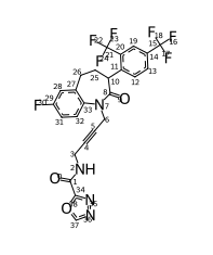 O=C(NCC#CCN1C(=O)C(c2ccc(C(F)(F)F)cc2C(F)(F)F)CCc2cc(F)ccc21)c1nnco1